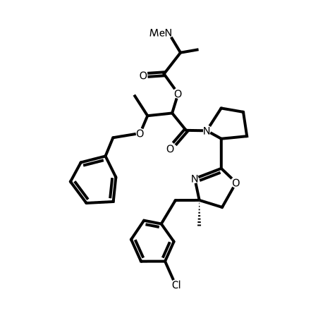 CNC(C)C(=O)OC(C(=O)N1CCCC1C1=N[C@](C)(Cc2cccc(Cl)c2)CO1)C(C)OCc1ccccc1